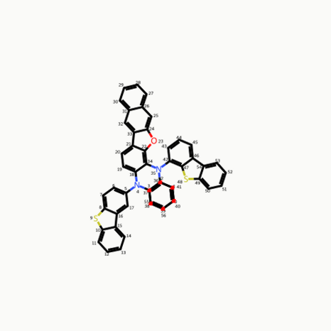 c1ccc(N(c2ccc3sc4ccccc4c3c2)c2ccc3c(oc4cc5ccccc5cc43)c2N(c2ccccc2)c2cccc3c2sc2ccccc23)cc1